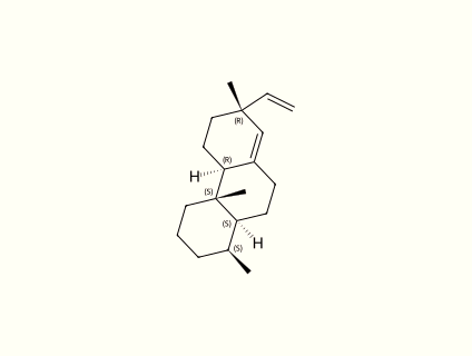 C=C[C@]1(C)C=C2CC[C@H]3[C@@H](C)CCC[C@]3(C)[C@H]2CC1